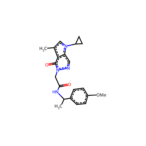 COc1ccc(C(C)NC(=O)Cn2ncc3c(c(C)cn3C3CC3)c2=O)cc1